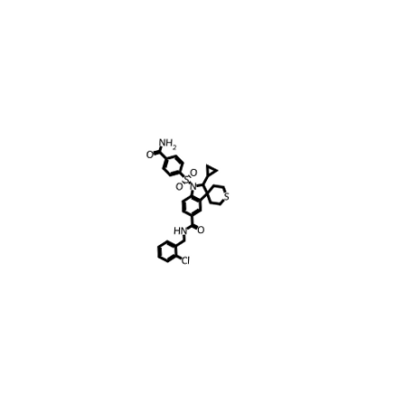 NC(=O)c1ccc(S(=O)(=O)N2c3ccc(C(=O)NCc4ccccc4Cl)cc3C3(CCSCC3)C2C2CC2)cc1